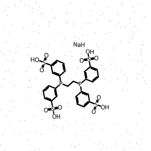 O=S(=O)(O)c1cccc(P(CCP(c2cccc(S(=O)(=O)O)c2)c2cccc(S(=O)(=O)O)c2)c2cccc(S(=O)(=O)O)c2)c1.[NaH]